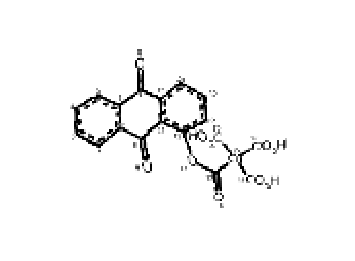 O=C1c2ccccc2C(=O)c2c(O[C](=O)[Cu]([C](=O)O)([C](=O)O)[C](=O)O)cccc21